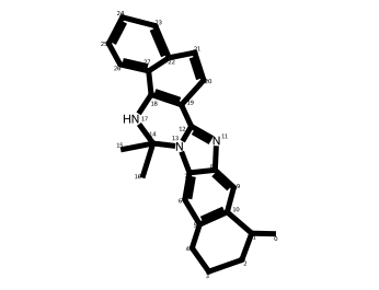 CC1CCCc2cc3c(cc21)nc1n3C(C)(C)Nc2c-1ccc1ccccc21